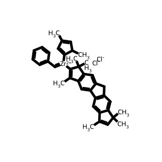 CC1=CC(C)[C]([Zr+2](=[CH]c2ccccc2)[C]2=C(C)c3cc4c(cc3C2(C)C)Cc2cc3c(cc2-4)C(C)=CC3(C)C)=C1.[Cl-].[Cl-]